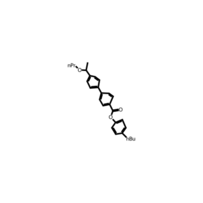 CCCCc1ccc(OC(=O)c2ccc(-c3ccc(C(C)OCCC)cc3)cc2)cc1